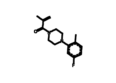 C=C(C)C(=O)N1CCN(c2cc(F)ccc2C)CC1